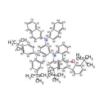 CC(C)(C)c1ccc(N2c3ccc(C(C)(C)C)cc3B3c4cc(C(C)(C)C)ccc4N(c4ccccc4-c4cccc5c4oc4c(C(C)(C)C)cccc45)c4cc(N(c5ccc6ccccc6c5)c5ccc6ccccc6c5)cc2c43)cc1